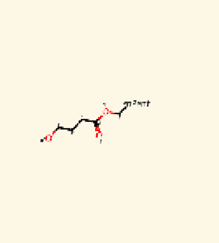 CCCCCCOC(=O)CCC[O]